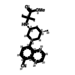 COC(=O)C(C)(C)N[C@@H]1C[C@H](C)CN(c2ccc(C#N)c3nccnc23)C1